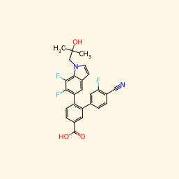 CC(C)(O)Cn1ccc2cc(-c3ccc(C(=O)O)cc3-c3ccc(C#N)c(F)c3)c(F)c(F)c21